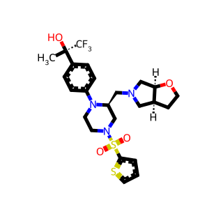 C[C@@](O)(c1ccc(N2CCN(S(=O)(=O)c3cccs3)C[C@@H]2CN2C[C@@H]3CCO[C@@H]3C2)cc1)C(F)(F)F